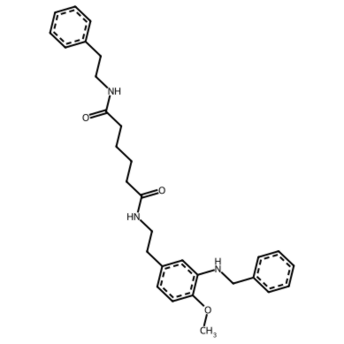 COc1ccc(CCNC(=O)CCCCC(=O)NCCc2ccccc2)cc1NCc1ccccc1